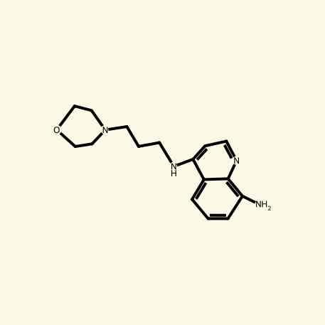 Nc1cccc2c(NCCCN3CCOCC3)ccnc12